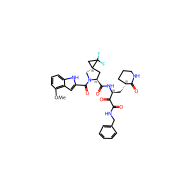 COc1cccc2[nH]c(C(=O)N3C[C@]4(C[C@H]3C(=O)N[C@@H](C[C@@H]3CCCNC3=O)C(=O)C(=O)NCc3ccccc3)CC4(F)F)cc12